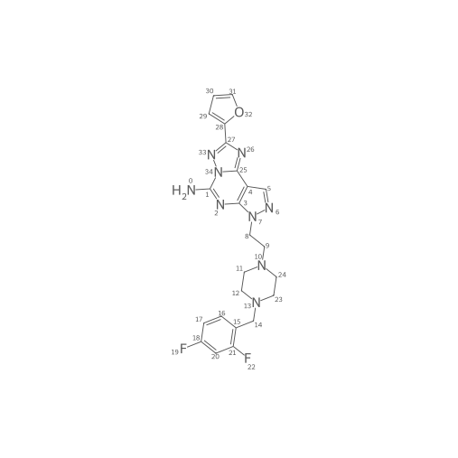 Nc1nc2c(cnn2CCN2CCN(Cc3ccc(F)cc3F)CC2)c2nc(-c3ccco3)nn12